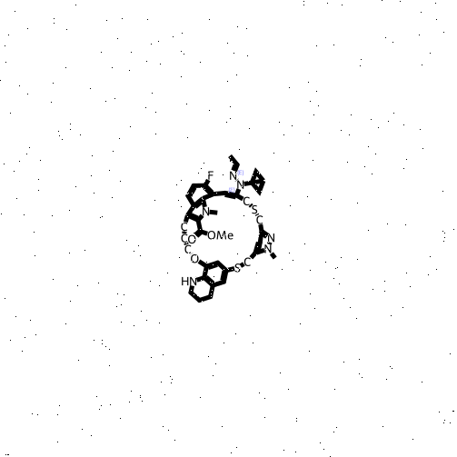 C/C=N/N(/C1=C/c2c(F)ccc3c(c(C(=O)OC)n(C)c23)CCCOc2cc(cc3c2NCCC3)SCc2cc(nn2C)CSC1)C12CC1C2